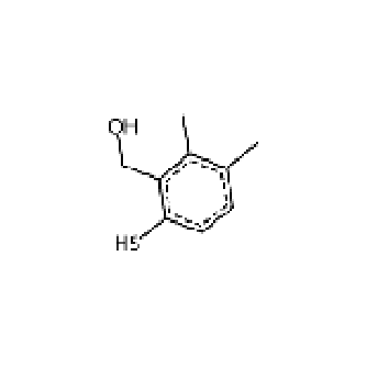 Cc1ccc(S)c(CO)c1C